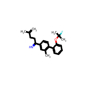 C=C(C)CCC(=N)c1ccc(-c2ccccc2OC(C)(C)F)c(C)c1